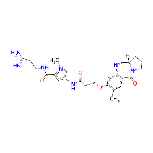 Cc1cc2c(cc1OCCC(=O)Nc1cc(C(=O)NCCC(=N)N)n(C)c1)N=C[C@@H]1CCCN1C2=O